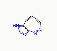 C1=CN=Nc2cn[nH]c2C=C1